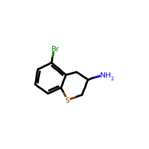 NC1CSc2cccc(Br)c2C1